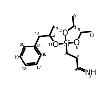 CCO[Si](CCC=N)(OCC)OC(C)Cc1ccccc1